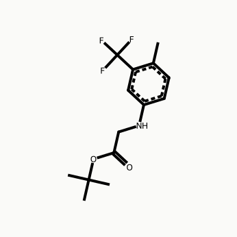 Cc1ccc(NCC(=O)OC(C)(C)C)cc1C(F)(F)F